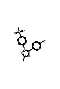 Cc1nc(-c2ccc(Br)cc2)n(-c2ccc(S(C)(=O)=O)cc2)n1